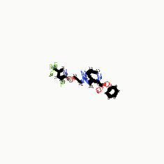 O=C(Oc1ccccc1)c1nccc2nn(CCOc3ncc(C(F)(F)F)cc3F)cc12